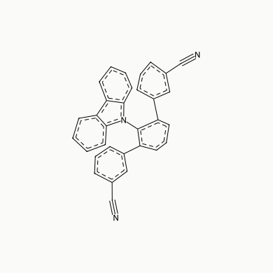 N#Cc1cccc(-c2cccc(-c3cccc(C#N)c3)c2-n2c3ccccc3c3ccccc32)c1